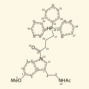 COc1ccc2c(c1)c(CCNC(C)=O)cn2C(=O)CCC[PH](c1ccccc1)(c1ccccc1)c1ccccc1